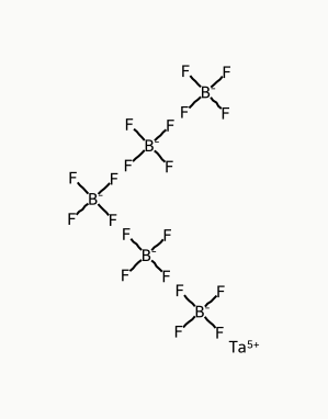 F[B-](F)(F)F.F[B-](F)(F)F.F[B-](F)(F)F.F[B-](F)(F)F.F[B-](F)(F)F.[Ta+5]